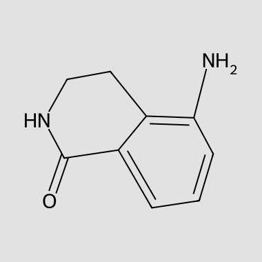 Nc1cccc2c1CCNC2=O